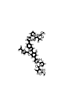 COC(=O)NC(C(=O)N1CCC[C@H]1c1ncc(-c2cc(F)c3c(c2)OC(c2cnc(C(C)C)s2)n2c-3cc3cc(-c4cnc([C@@H]5CCCN5C(=O)C(NC(=O)OC)C(C)C)[nH]4)ccc32)[nH]1)C(C)C